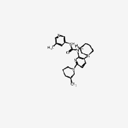 Cc1cncc(NC(=O)N2c3nc(N4CCCC(C(F)(F)F)C4)ccc3N3CCC[C@@H]2C3)c1